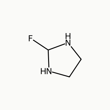 FC1NCCN1